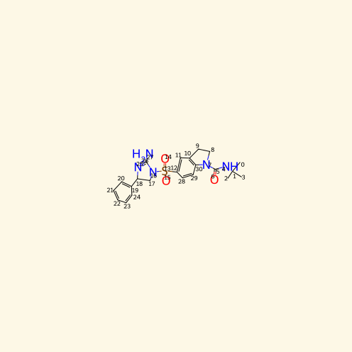 CC(C)(C)NC(=O)N1CCc2cc(S(=O)(=O)N3CC(c4ccccc4)N=C3N)ccc21